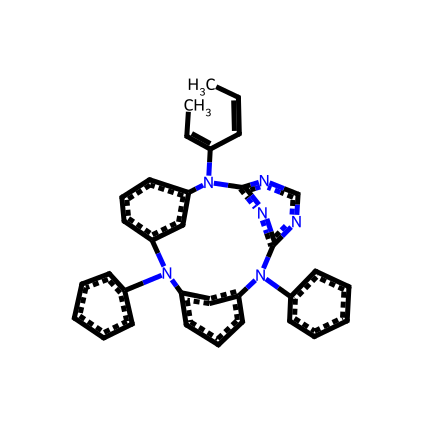 C/C=C\C(=C/C)N1c2cccc(c2)N(c2ccccc2)c2cccc(c2)N(c2ccccc2)c2ncnc1n2